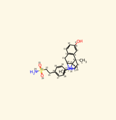 CN1CC[C@]2(C)c3cc(O)ccc3CC1[C@H]2Nc1ccc(CCS(N)(=O)=O)cc1